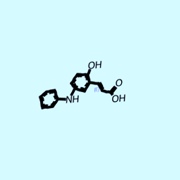 O=C(O)/C=C/c1cc(Nc2ccccc2)ccc1O